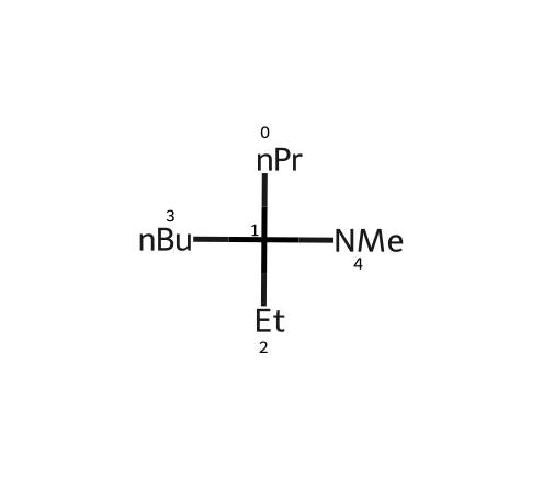 [CH2]CCC(CC)(CCCC)NC